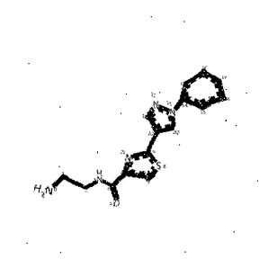 NCCNC(=O)c1csc(-c2cnn(-c3ccccc3)c2)n1